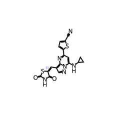 N#Cc1ccc(-c2cc(NC3CC3)n3ncc(/C=C4/SC(=O)NC4=O)c3n2)s1